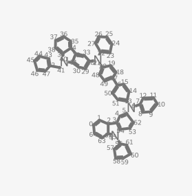 C1=CC2c3cc(N(c4ccccc4)c4ccc(-c5ccc(N(c6ccccc6)c6ccc7c(c6)c6ccccc6n7Cc6ccccc6)cc5)cc4)ccc3N(c3ccccc3)C2C=C1